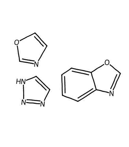 c1c[nH]nn1.c1ccc2ocnc2c1.c1cocn1